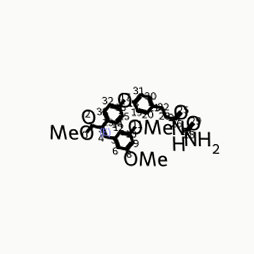 COC(=O)/C(=C/c1cc(OC)cc(OC)c1)c1ccc(Oc2ccc(CCC(=O)NC(N)=O)cc2)cc1